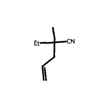 C=CCC(C)(C#N)CC